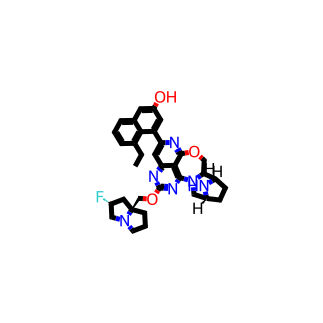 CCc1cccc2cc(O)cc(-c3cc4nc(OC[C@@]56CCCN5C[C@H](F)C6)nc5c4c(n3)OC[C@H]3[C@H]4CC[C@@H](CN53)N4)c12